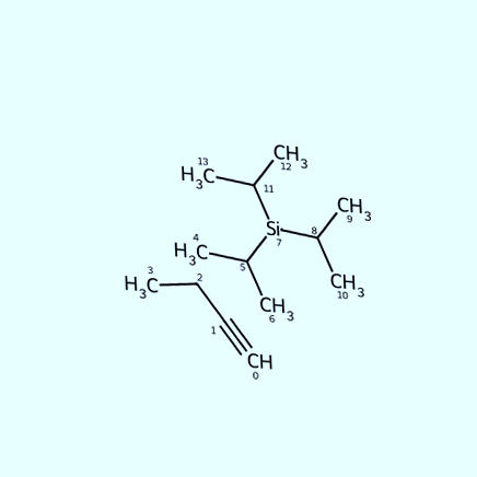 C#CCC.CC(C)[Si](C(C)C)C(C)C